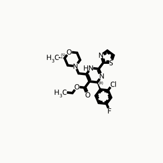 CCOC(=O)C1=C(CN2CCO[C@@H](C)C2)NC(c2nccs2)=N[C@H]1c1ccc(F)cc1Cl